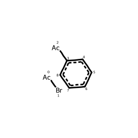 CC(=O)Br.CC(=O)c1ccccc1